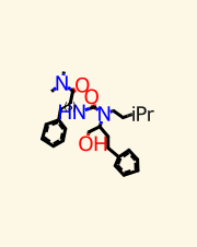 CC(C)CCN(C(=O)N[C@@H](Cc1ccccc1)C(=O)N(C)C)C(CO)CCc1ccccc1